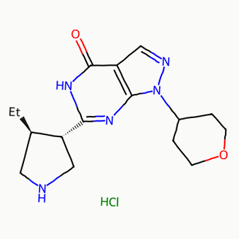 CC[C@@H]1CNC[C@H]1c1nc2c(cnn2C2CCOCC2)c(=O)[nH]1.Cl